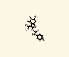 CCC1Cc2sc(NC(=O)Nc3ccc(Cl)cc3)c(C(N)=O)c2C(C)N1C